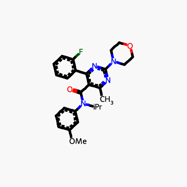 COc1cccc(N(C(=O)c2c(C)nc(N3CCOCC3)nc2-c2ccccc2F)C(C)C)c1